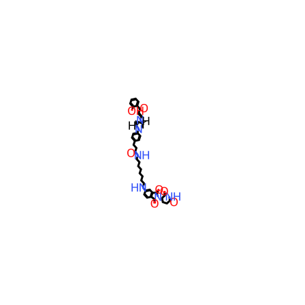 O=C(CCc1ccc(N2C[C@@H]3C[C@H]2CN3/C=C/C(=O)c2ccccc2O)cc1)NCCCCCCCCNc1ccc2c(c1)C(=O)N(C1CCC(=O)NC1=O)C2=O